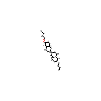 C=CCC[C@@H]1CC[C@@H]2CC(C3CCc4cc(OCCCC)ccc4C3)CCC2C1